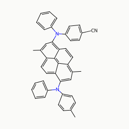 Cc1ccc(N(c2ccccc2)c2cc(C)c3ccc4c(N(c5ccccc5)c5ccc(C#N)cc5)cc(C)c5ccc2c3c54)cc1